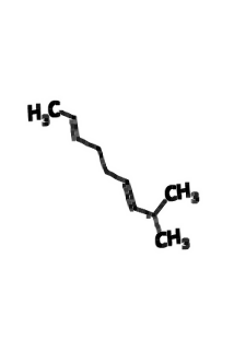 CC=CCCC=C[C](C)C